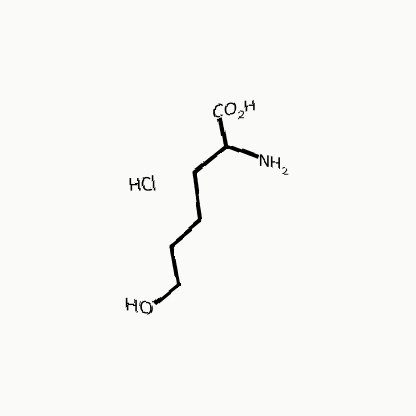 Cl.NC(CCCCO)C(=O)O